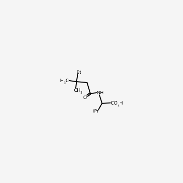 CCC(C)(C)CC(=O)NC(C(=O)O)C(C)C